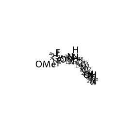 COc1cc(C)c(F)c(COc2cnc(Nc3ccc(N4CCC(O)(CN5CCN(C)CC5)CC4)c(C)c3)nc2)c1F